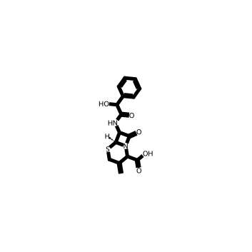 C=C1CS[C@H]2C(NC(=O)C(O)c3ccccc3)C(=O)N2C1C(=O)O